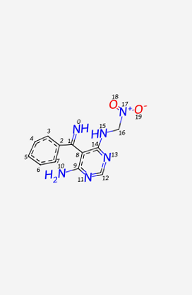 N=C(c1ccccc1)c1c(N)ncnc1NC[N+](=O)[O-]